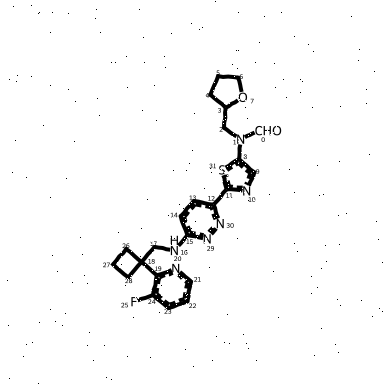 O=CN(CC1CCCO1)c1cnc(-c2ccc(NCC3(c4ncccc4F)CCC3)nn2)s1